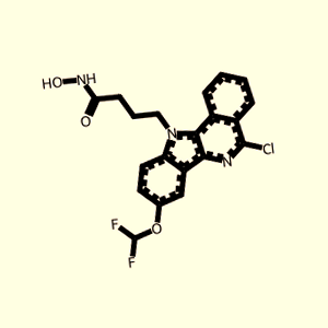 O=C(CCCn1c2ccc(OC(F)F)cc2c2nc(Cl)c3ccccc3c21)NO